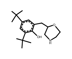 CC(C)(C)c1cc(CC2CNCCO2)c(O)c(C(C)(C)C)c1